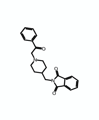 O=C(CN1CCC(CN2C(=O)c3ccccc3C2=O)CC1)c1ccccc1